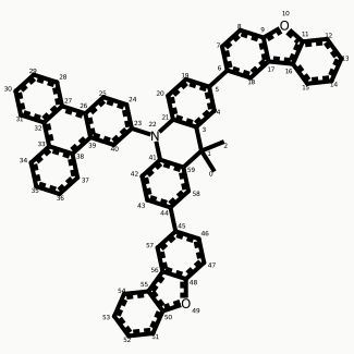 CC1(C)c2cc(-c3ccc4oc5ccccc5c4c3)ccc2N(c2ccc3c4ccccc4c4ccccc4c3c2)c2ccc(-c3ccc4oc5ccccc5c4c3)cc21